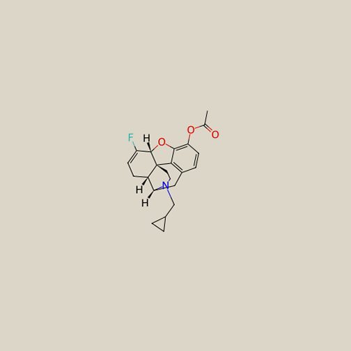 CC(=O)Oc1ccc2c3c1O[C@H]1C(F)=CC[C@H]4[C@@H](C2)N(CC2CC2)CC[C@]314